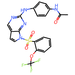 CC(=O)Nc1ccc(Nc2ncc3ccn(S(=O)(=O)c4ccccc4OC(F)(F)F)c3n2)cc1